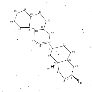 I[C@H]1CC[C@H]2CC(C3=CCC4C(CCC5CCCCC54)C3)CCC2C1